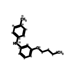 CCCCOc1cccc(Nc2ccc(C)cc2)c1